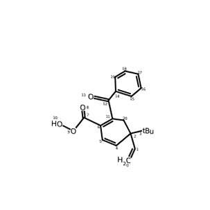 C=CC1(C(C)(C)C)C=CC(C(=O)OO)=C(C(=O)c2ccccc2)C1